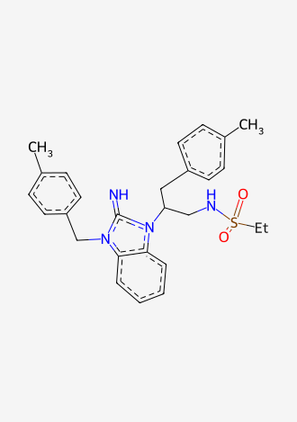 CCS(=O)(=O)NCC(Cc1ccc(C)cc1)n1c(=N)n(Cc2ccc(C)cc2)c2ccccc21